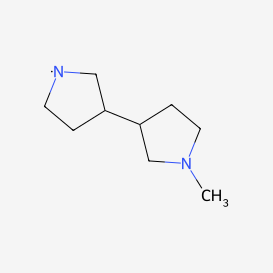 CN1CCC(C2CC[N]C2)C1